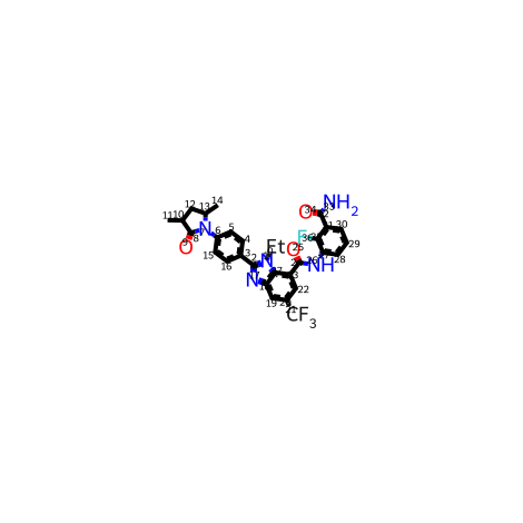 CCn1c(-c2ccc(N3C(=O)C(C)CC3C)cc2)nc2cc(C(F)(F)F)cc(C(=O)Nc3cccc(C(N)=O)c3F)c21